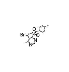 Cc1ccc(S(=O)(=O)n2cc(Br)c3c(C)ncnc32)cc1